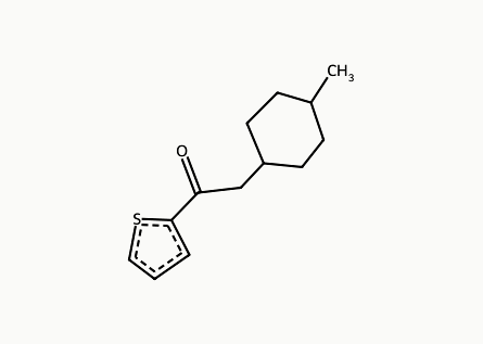 CC1CCC(CC(=O)c2cccs2)CC1